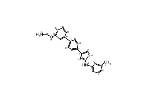 Cc1cccc(Nc2nc(-c3ccc(-c4ccnc(OCN)c4)cc3)cs2)n1